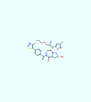 CCCOC[C@@H](C)[C@@H](C(=O)N1C[C@H](O)C[C@H]1C(=O)N[C@@H](C)c1ccc(-c2scnc2C)cc1)c1cc(C)no1